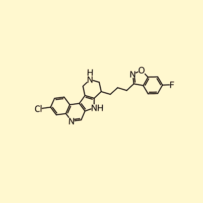 Fc1ccc2c(CCCC3CNCc4c3[nH]c3cnc5cc(Cl)ccc5c43)noc2c1